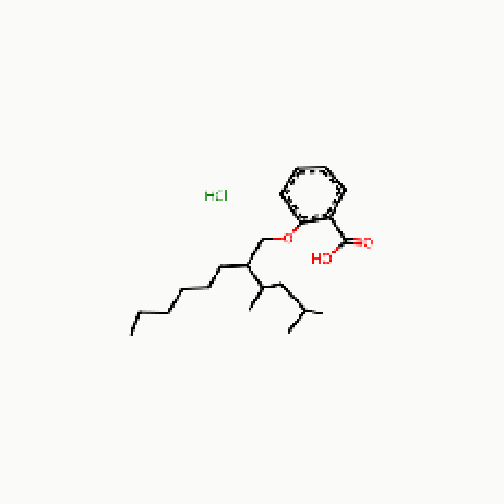 CCCCCCC(COc1ccccc1C(=O)O)C(C)CC(C)C.Cl